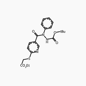 CCOC(=O)CSc1ccc(C(=O)N(NC(=O)OC(C)(C)C)c2ccccc2)cn1